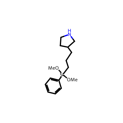 CO[Si](CCCC1CCNC1)(OC)c1ccccc1